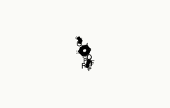 CCOc1ccc(OC(F)(F)C(F)F)cc1